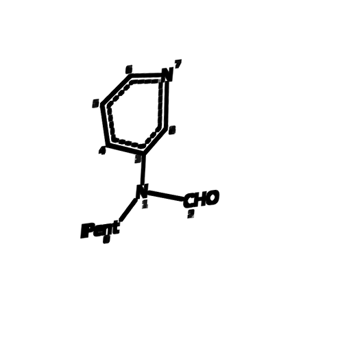 CCCC(C)N(C=O)c1cccnc1